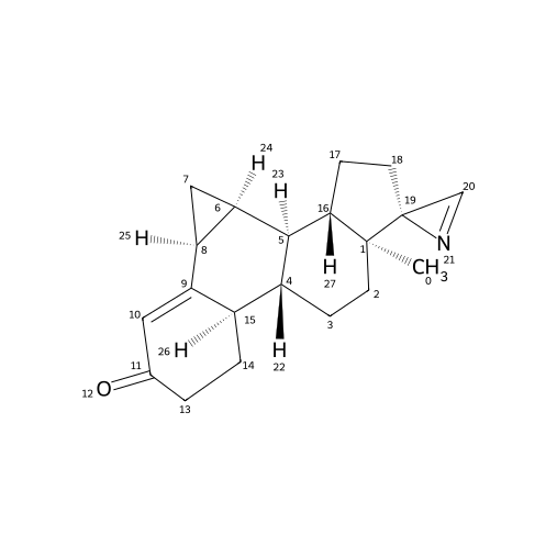 C[C@]12CC[C@H]3[C@@H]([C@@H]4C[C@@H]4C4=CC(=O)CC[C@@H]43)[C@@H]1CC[C@@]21C=N1